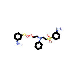 Nc1cccc(SOOCCN(CCS(=O)(=O)c2cccc(N)c2)c2ccccc2)c1